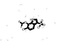 O=S(=O)(Cl)c1c[nH]c2c(OC(F)F)c(Cl)ccc12